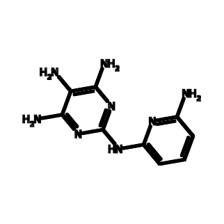 Nc1cccc(Nc2nc(N)c(N)c(N)n2)n1